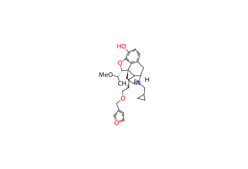 CC[C@@]1(CCCOCc2ccoc2)[C@H]2Cc3ccc(O)c4c3[C@@]1(CCN2CC1CC1)[C@H](C(C)OC)O4